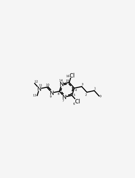 CCCCc1c(Cl)nc(N=CN(C)C)nc1Cl